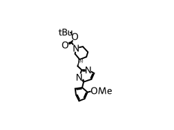 COc1ccccc1-c1ccnc(C[C@@H]2CCCN(C(=O)OC(C)(C)C)C2)n1